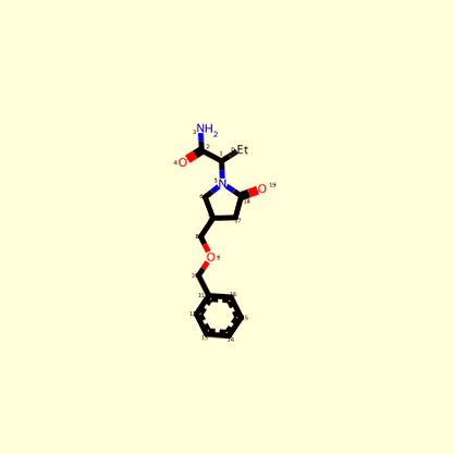 CCC(C(N)=O)N1CC(COCc2ccccc2)CC1=O